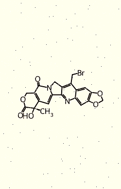 C[C@@]1(O)C(=O)OCc2c1cc1n(c2=O)Cc2c-1nc1cc3c(cc1c2CBr)OCO3